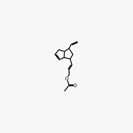 C=CC1CC(C=CCOC(C)=O)C2C=CCC12